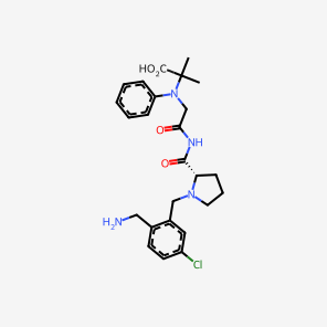 CC(C)(C(=O)O)N(CC(=O)NC(=O)[C@@H]1CCCN1Cc1cc(Cl)ccc1CN)c1ccccc1